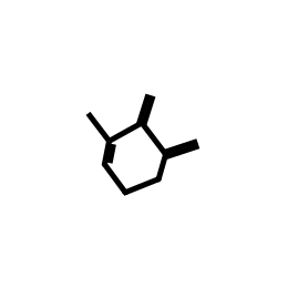 C=C1CCC=C(C)C1=C